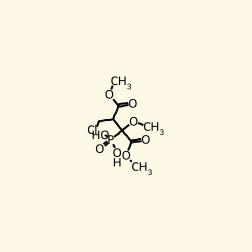 COC(=O)C(CCl)C(OC)(C(=O)OC)P(=O)(O)O